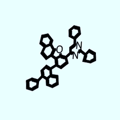 c1ccc(-c2cc(-c3ccc(-c4ccc(-c5ccccc5)c5ccccc45)c4c3oc3c5ccccc5ccc34)nc(-c3ccccc3)n2)cc1